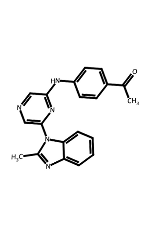 CC(=O)c1ccc(Nc2cncc(-n3c(C)nc4ccccc43)n2)cc1